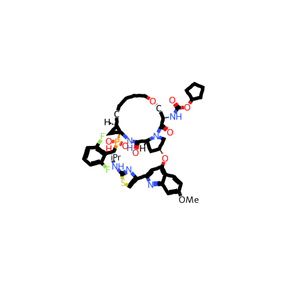 COc1ccc2c(O[C@@H]3C[C@H]4C(=O)N[C@]5(P(=O)(O)Cc6c(F)cccc6F)C[C@H]5CCCCCOC[C@H](NC(=O)OC5CCCC5)C(=O)N4C3)cc(-c3csc(NC(C)C)n3)nc2c1